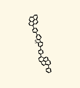 c1ccc(-c2ccc3ccc4c(-c5ccc(-c6ccc7c(c6)sc6cc(-c8ccc(-c9ccc%10ccc%11cccc%12ccc9c%10c%11%12)cc8)ccc67)cc5)ccc5ccc2c3c54)cc1